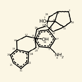 Nc1cccc(C2(O)C3CCC2CN(CC2(O)CCc4ccccc4C2)C3)c1